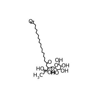 CC[C@@H](O)[C@@H](O)[C@H](COC1OC(CO)C(O)C(O)C1O)CC(=O)CCCCCCCCCCCCCCCCC1COC1